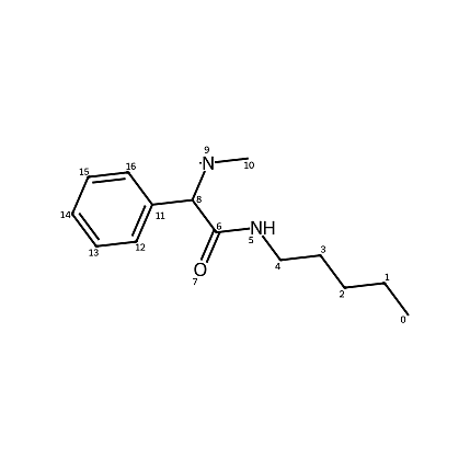 CCCCCNC(=O)C([N]C)c1ccccc1